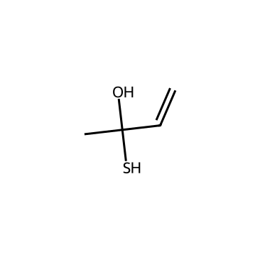 C=CC(C)(O)S